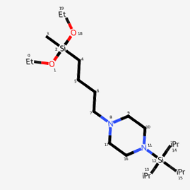 CCO[Si](C)(CCCCN1CCN([Si](C(C)C)(C(C)C)C(C)C)CC1)OCC